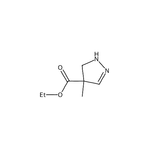 CCOC(=O)C1(C)C=NNC1